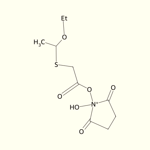 CCOC(C)SCC(=O)O[N+]1(O)C(=O)CCC1=O